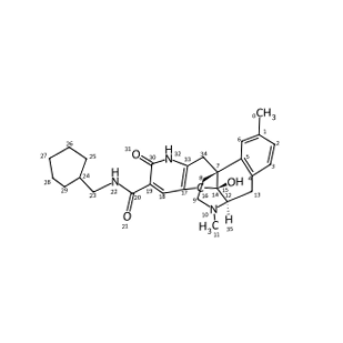 Cc1ccc2c(c1)[C@]13CCN(C)[C@H](C2)[C@]1(O)Cc1cc(C(=O)NCC2CCCCC2)c(=O)[nH]c1C3